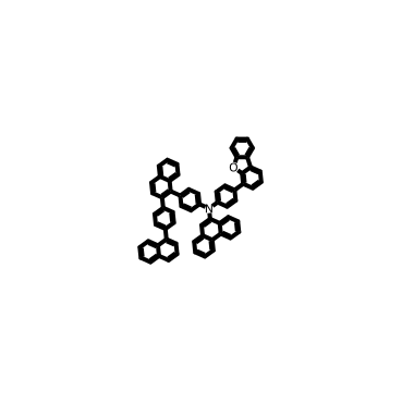 c1ccc2c(-c3ccc(-c4ccc5ccccc5c4-c4ccc(N(c5ccc(-c6cccc7c6oc6ccccc67)cc5)c5cc6ccccc6c6ccccc56)cc4)cc3)cccc2c1